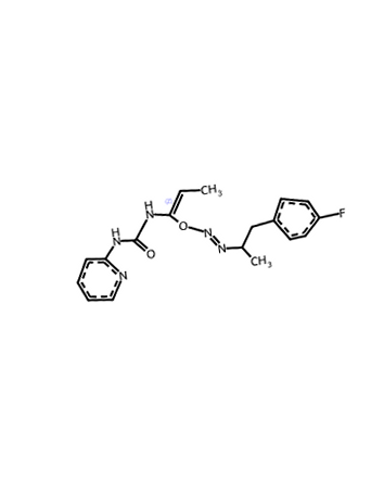 C/C=C(/NC(=O)Nc1ccccn1)ON=NC(C)Cc1ccc(F)cc1